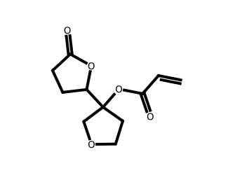 C=CC(=O)OC1(C2CCC(=O)O2)CCOC1